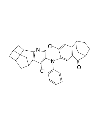 O=C1c2cc(N(c3ccccc3)c3cnc4c(c3Cl)C3CC5CC6CC4C56C3)c(Cl)cc2C2CCC1CC2